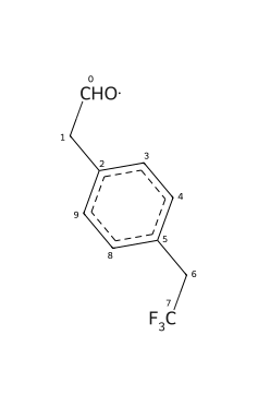 O=[C]Cc1ccc(CC(F)(F)F)cc1